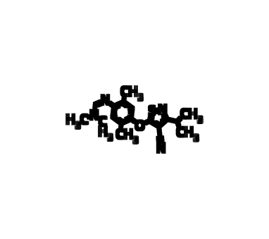 Cc1cc(Oc2snc(C(C)C)c2C#N)c(C)cc1/N=C\N(C)C